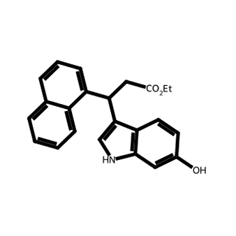 CCOC(=O)CC(c1cccc2ccccc12)c1c[nH]c2cc(O)ccc12